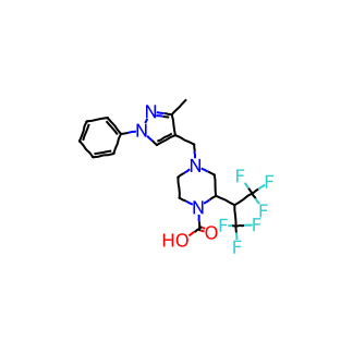 Cc1nn(-c2ccccc2)cc1CN1CCN(C(=O)O)C(C(C(F)(F)F)C(F)(F)F)C1